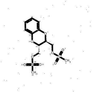 CS(=O)(=O)OC[C@@H]1Oc2ccccc2O[C@H]1COS(C)(=O)=O